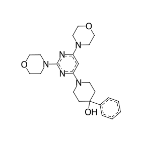 OC1(c2ccccc2)CCN(c2cc(N3CCOCC3)nc(N3CCOCC3)n2)CC1